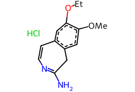 CCOc1cc2c(cc1OC)CC(N)=NC=C2.Cl